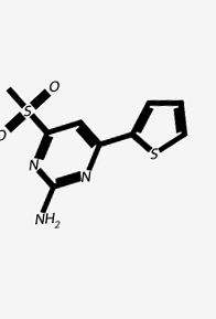 CS(=O)(=O)c1cc(-c2cccs2)nc(N)n1